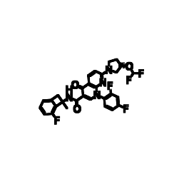 CC1(NC(=O)c2cn(-c3ccc(F)cc3F)c3nc(N4CC[C@@H](OC(F)F)C4)ccc3c2=O)Cc2cccc(F)c21